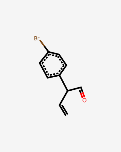 C=CC(C=O)c1ccc(Br)cc1